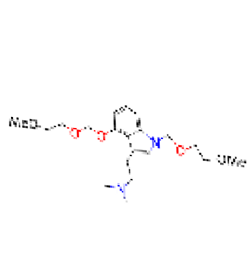 COCCOCOc1cccc2c1c(CCN(C)C)cn2COCCOC